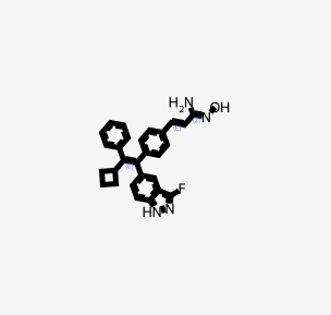 NC(/C=C/c1ccc(/C(=C(\c2ccccc2)C2CCC2)c2ccc3[nH]nc(F)c3c2)cc1)=N\O